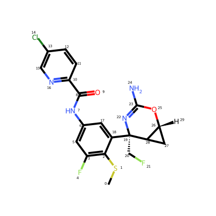 CSc1c(F)cc(NC(=O)c2ccc(Cl)cn2)cc1[C@@]1(CF)N=C(N)O[C@@H]2CC21